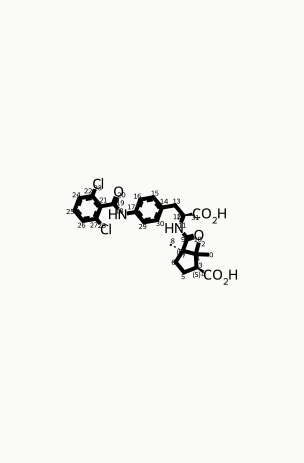 CC1(C)[C@@H](C(=O)O)CC[C@@]1(C)C(=O)N[C@@H](Cc1ccc(NC(=O)c2c(Cl)cccc2Cl)cc1)C(=O)O